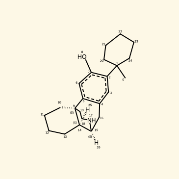 CC1(c2cc3c(cc2O)[C@]24CCCC[C@@H]2[C@H](C3)NCC4)CCCCC1